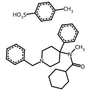 CN(C(=O)C1CCCCC1)C1(c2ccccc2)CCN(Cc2ccccc2)CC1.Cc1ccc(S(=O)(=O)O)cc1